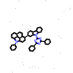 c1ccc(-c2nc(-c3ccccc3)nc(-n3c4ccccc4c4ccc(-c5ccc6c7c5ccc5cccc(c57)n6-c5ccccc5)cc43)n2)cc1